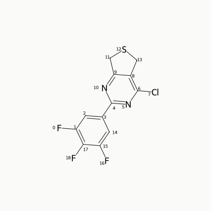 Fc1cc(-c2nc(Cl)c3c(n2)CSC3)cc(F)c1F